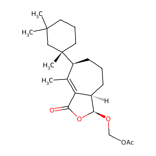 CC(=O)OCO[C@H]1OC(=O)C2=C(C)[C@@H]([C@@]3(C)CCCC(C)(C)C3)CCC[C@H]21